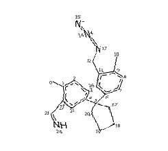 Cc1ccc(C2(c3ccc(C)c(CN=[N+]=[N-])c3)CCCC2)cc1C=N